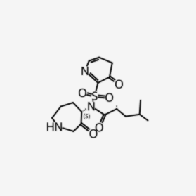 CC(C)C[CH]C(=O)N([C@H]1CCCNCC1=O)S(=O)(=O)C1=NC=CCC1=O